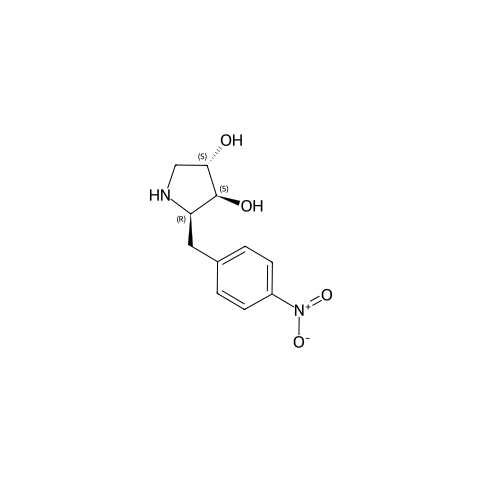 O=[N+]([O-])c1ccc(C[C@H]2NC[C@H](O)[C@H]2O)cc1